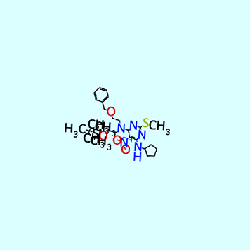 CSc1nc(NC2CCCC2)c([N+](=O)[O-])c(N(CCOCc2ccccc2)CCO[Si](C)(C)C(C)(C)C)n1